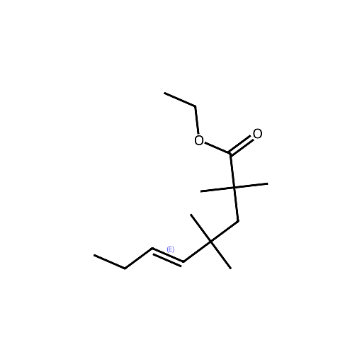 CC/C=C/C(C)(C)CC(C)(C)C(=O)OCC